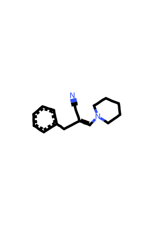 N#CC(=CN1CCCCC1)Cc1ccccc1